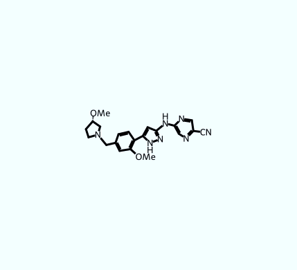 COc1cc(CN2CC[C@H](OC)C2)ccc1-c1cc(Nc2cnc(C#N)cn2)n[nH]1